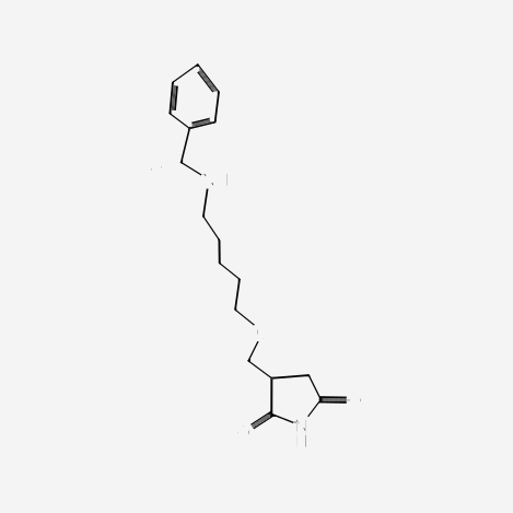 C[C@@H](NCCCCCOCC1CC(=O)NC1=O)c1ccccc1